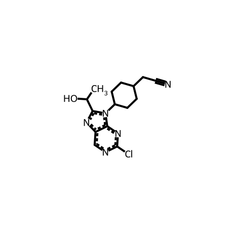 CC(O)c1nc2cnc(Cl)nc2n1C1CCC(CC#N)CC1